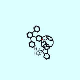 CC1(C)c2ccccc2-c2ccc(N(c3ccc(-c4c(-c5ccccc5)cccc4-c4ccccc4)cc3)c3cc4ccc3CCc3ccc(cc3)CC4)cc21